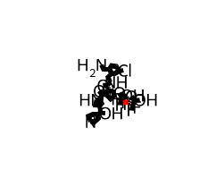 NCc1ccc(Cl)cc1CNC(=O)[C@@H]1CCCN1C(=O)c1cc(C(O)c2ccncc2)c[nH]1.O=C(O)C(F)(F)F.O=C(O)C(F)(F)F